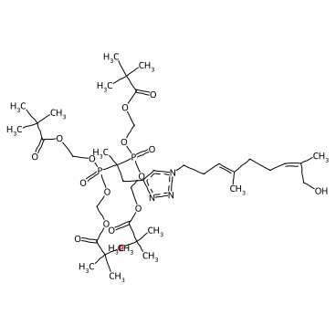 C/C(=C/CC/C(C)=C/CCn1cc(CC(C)(P(=O)(OCOC(=O)C(C)(C)C)OCOC(=O)C(C)(C)C)P(=O)(OCOC(=O)C(C)(C)C)OCOC(=O)C(C)(C)C)nn1)CO